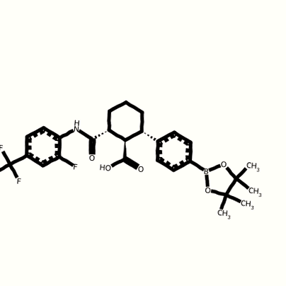 CC1(C)OB(c2ccc([C@H]3CCC[C@@H](C(=O)Nc4ccc(C(F)(F)F)cc4F)[C@@H]3C(=O)O)cc2)OC1(C)C